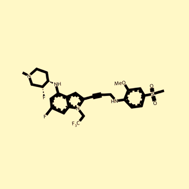 COc1cc(S(C)(=O)=O)ccc1NCC#Cc1cc2c(N[C@H]3CCN(C)C[C@H]3F)cc(F)cc2n1CC(F)(F)F